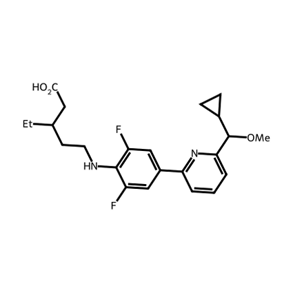 CCC(CCNc1c(F)cc(-c2cccc(C(OC)C3CC3)n2)cc1F)CC(=O)O